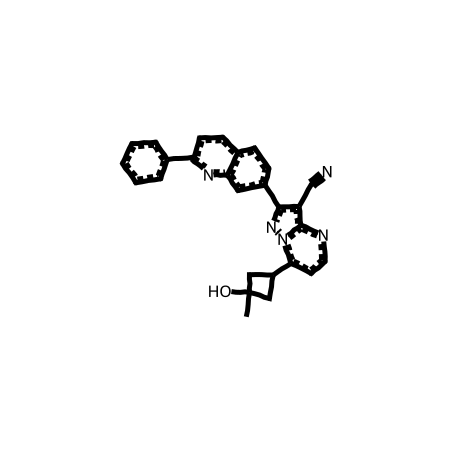 CC1(O)CC(c2ccnc3c(C#N)c(-c4ccc5ccc(-c6ccccc6)nc5c4)nn23)C1